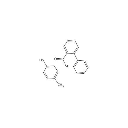 Cc1ccc(S)cc1.O=C(S)c1ccccc1-c1ccccc1